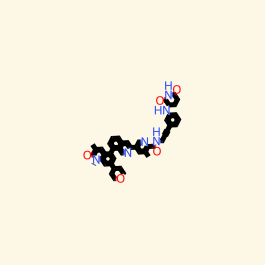 Cc1cc(-c2cc3cccc(-c4cc(C5CCOCC5)cc5c4cc(C)c(=O)n5C)c3cn2)cnc1C(=O)NCC#Cc1cccc(NC2CCC(=O)NC2=O)c1